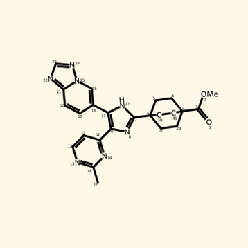 COC(=O)C12CCC(c3nc(-c4ccnc(C)n4)c(-c4ccc5ncnn5c4)[nH]3)(CC1)CC2